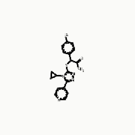 CC(C)c1ccc(C(Sc2nnc(-c3ccncc3)n2C2CC2)C(N)=O)cc1